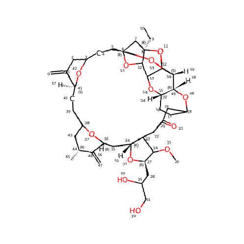 C=C1CC2CC[C@@]34C[C@@]5(CC)OC6C(O[C@H]7CCC(CC(=O)CC8C(OC)[C@@H](CC(O)CO)O[C@@H]8C[C@H]8OC(CC[C@@H]1O2)C[C@@H](C)C8=C)O[C@H]7[C@@H]6O3)C5O4